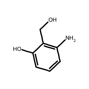 Nc1cccc(O)c1CO